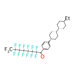 CC[C@H]1CC[C@H]([C@H]2CC[C@H](c3ccc(C(=O)C(F)(F)C(F)(F)C(F)(F)C(F)(F)C(F)(F)C(F)(F)C(F)(F)F)cc3)CC2)CC1